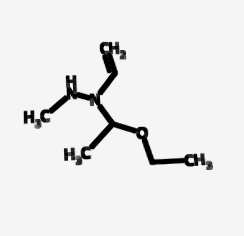 C=CN(NC)C(C)OCC